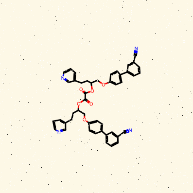 N#Cc1cccc(-c2ccc(OCC(CCc3cccnc3)OC(=O)C(=O)OC(CCc3cccnc3)COc3ccc(-c4cccc(C#N)c4)cc3)cc2)c1